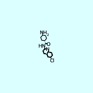 N[C@H]1CC[C@H](C(=O)Nc2ccc3cc(Cl)ccc3n2)CC1